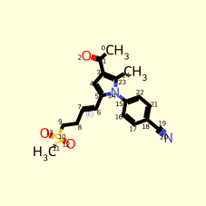 CC(=O)c1cc(/C=C/CCS(C)(=O)=O)n(-c2ccc(C#N)cc2)c1C